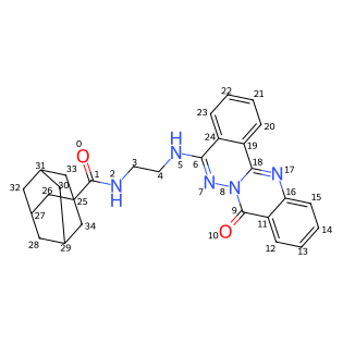 O=C(NCCNc1nn2c(=O)c3ccccc3nc2c2ccccc12)C12CC3CC(CC(C3)C1)C2